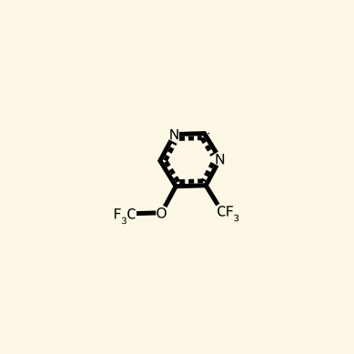 FC(F)(F)Oc1cn[c]nc1C(F)(F)F